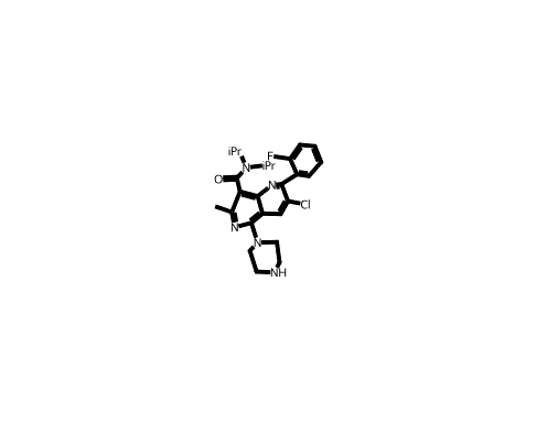 Cc1nc(N2CCNCC2)c2cc(Cl)c(-c3ccccc3F)nc2c1C(=O)N(C(C)C)C(C)C